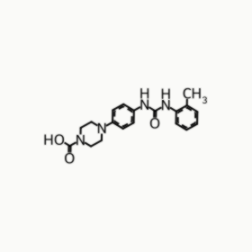 Cc1ccccc1NC(=O)Nc1ccc(N2CCN(C(=O)O)CC2)cc1